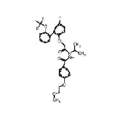 COCCOc1ccc(C(=O)NN(C(=O)COc2ccc(F)cc2-c2ccccc2OC(F)(F)F)C(C)C)cc1